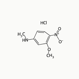 CNc1ccc([N+](=O)[O-])c(OC)c1.Cl